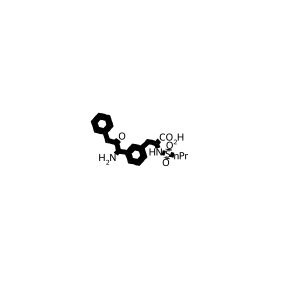 CCCS(=O)(=O)NC(Cc1cccc(C(N)C(=O)Cc2ccccc2)c1)C(=O)O